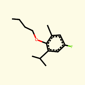 CCCCOc1c(C)cc(F)cc1C(C)C